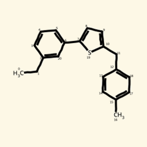 CCc1cccc(-c2ccc(Cc3ccc(C)cc3)s2)c1